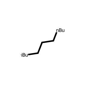 CCCCCCC[C](C)CC